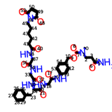 CN(CCC(N)=O)C(=O)OCc1ccc(NC(=O)CNC(=O)[C@H](Cc2ccccc2)NC(=O)CNC(=O)CNC(=O)CCCCCN2C(=O)C=CC2=O)cc1